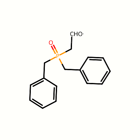 O=[C]CP(=O)(Cc1ccccc1)Cc1ccccc1